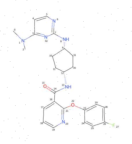 CN(C)c1ccnc(N[C@H]2CC[C@@H](NC(=O)c3cccnc3Oc3ccc(F)cc3)CC2)n1